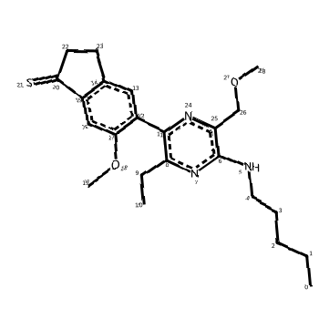 CCCCCNc1nc(CC)c(-c2cc3c(cc2OC)C(=S)CC3)nc1COC